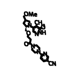 COCC1C[C@@H](COCCC(=O)N2CCN(c3ccc(C#N)cn3)CC2)N(c2cn[nH]c(=O)c2C)C1